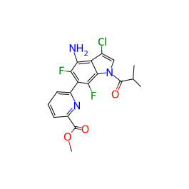 COC(=O)c1cccc(-c2c(F)c(N)c3c(Cl)cn(C(=O)C(C)C)c3c2F)n1